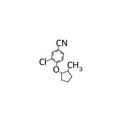 CC1CCCC1Oc1ccc(C#N)cc1Cl